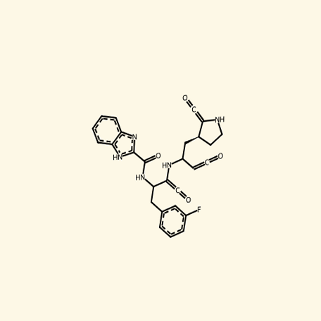 O=C=CC(C[C@@H]1CCNC1=C=O)NC(=C=O)C(Cc1cccc(F)c1)NC(=O)c1nc2ccccc2[nH]1